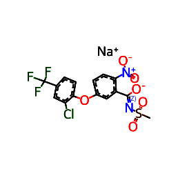 CS(=O)(=O)/N=C(\[O-])c1cc(Oc2ccc(C(F)(F)F)cc2Cl)ccc1[N+](=O)[O-].[Na+]